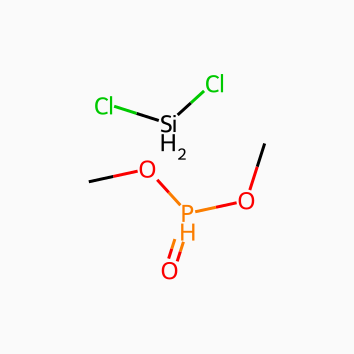 CO[PH](=O)OC.Cl[SiH2]Cl